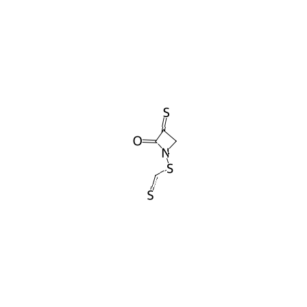 O=C1C(=S)CN1SC=S